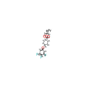 CCCC12COC(C3CCC(COc4cc(F)c(F)c(F)c4)CC3)(OC1)OC2